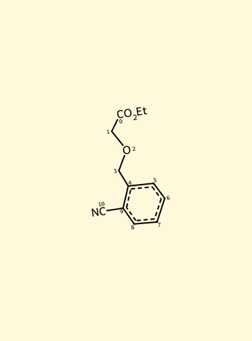 CCOC(=O)COCc1ccccc1C#N